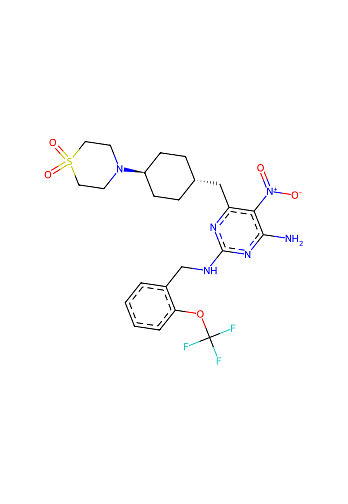 Nc1nc(NCc2ccccc2OC(F)(F)F)nc(C[C@H]2CC[C@H](N3CCS(=O)(=O)CC3)CC2)c1[N+](=O)[O-]